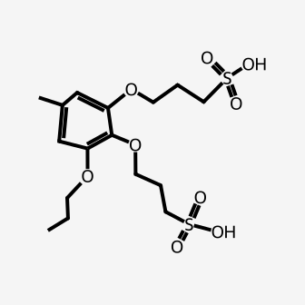 CCCOc1cc(C)cc(OCCCS(=O)(=O)O)c1OCCCS(=O)(=O)O